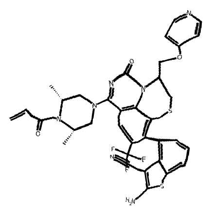 C=CC(=O)N1[C@H](C)CN(c2nc(=O)n3c4c(c(-c5cccc6sc(N)c(C#N)c56)c(C(F)(F)F)cc24)SCC3COc2ccncc2)C[C@@H]1C